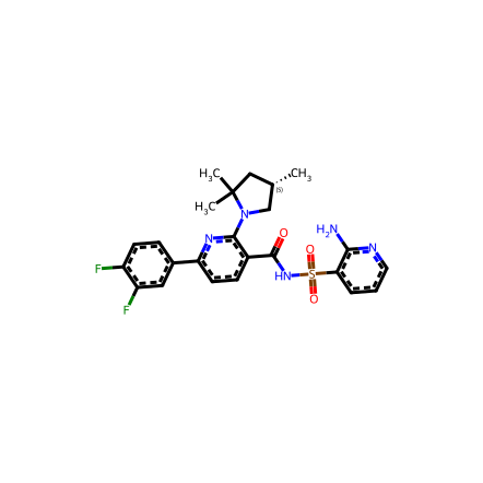 C[C@@H]1CN(c2nc(-c3ccc(F)c(F)c3)ccc2C(=O)NS(=O)(=O)c2cccnc2N)C(C)(C)C1